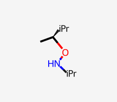 CC(C)NO[C@@H](C)C(C)C